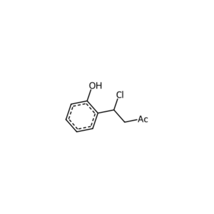 CC(=O)CC(Cl)c1ccccc1O